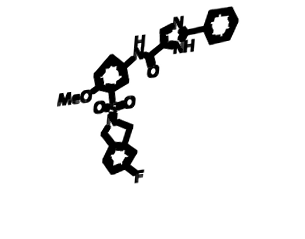 COc1ccc(NC(=O)c2cnc(-c3ccccc3)[nH]2)cc1S(=O)(=O)N1Cc2ccc(F)cc2C1